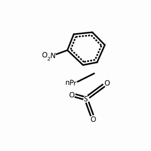 CCCC.O=S(=O)=O.O=[N+]([O-])c1ccccc1